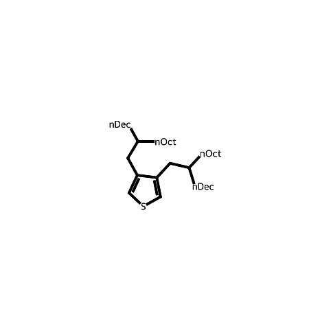 CCCCCCCCCCC(CCCCCCCC)Cc1cscc1CC(CCCCCCCC)CCCCCCCCCC